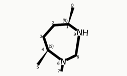 C[C@@H]1CC[C@H](C)N(C)CN1